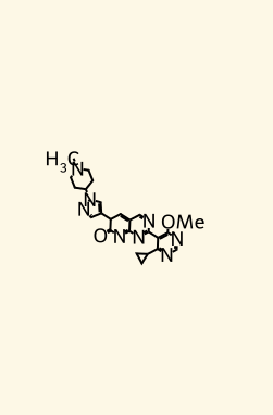 COc1ncnc(C2CC2)c1-c1ncc2c(n1)=NC(=O)C(c1cnn(C3CCN(C)CC3)c1)C=2